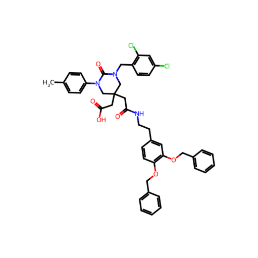 Cc1ccc(N2CC(CC(=O)O)(CC(=O)NCCc3ccc(OCc4ccccc4)c(OCc4ccccc4)c3)CN(Cc3ccc(Cl)cc3Cl)C2=O)cc1